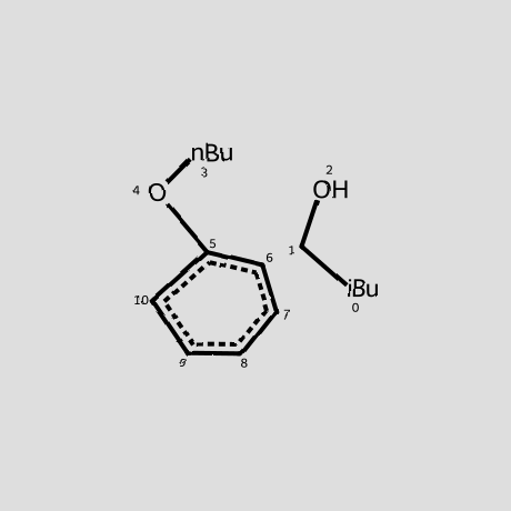 CCC(C)CO.CCCCOc1ccccc1